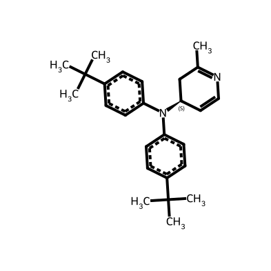 CC1=NC=C[C@@H](N(c2ccc(C(C)(C)C)cc2)c2ccc(C(C)(C)C)cc2)C1